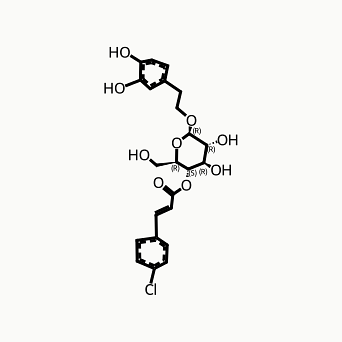 O=C(C=Cc1ccc(Cl)cc1)O[C@H]1[C@H](O)[C@@H](O)[C@H](OCCc2ccc(O)c(O)c2)O[C@@H]1CO